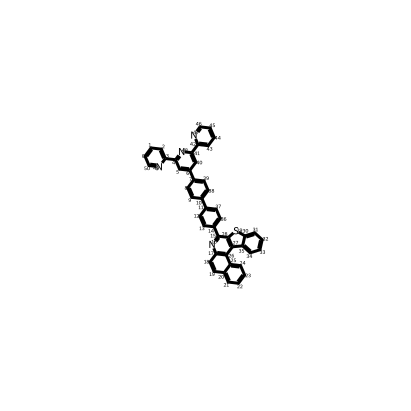 c1ccc(-c2cc(-c3ccc(-c4ccc(-c5nc6ccc7ccccc7c6c6c5sc5ccccc56)cc4)cc3)cc(-c3ccccn3)n2)nc1